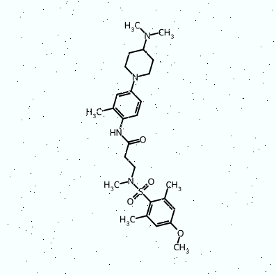 COc1cc(C)c(S(=O)(=O)N(C)CCC(=O)Nc2ccc(N3CCC(N(C)C)CC3)cc2C)c(C)c1